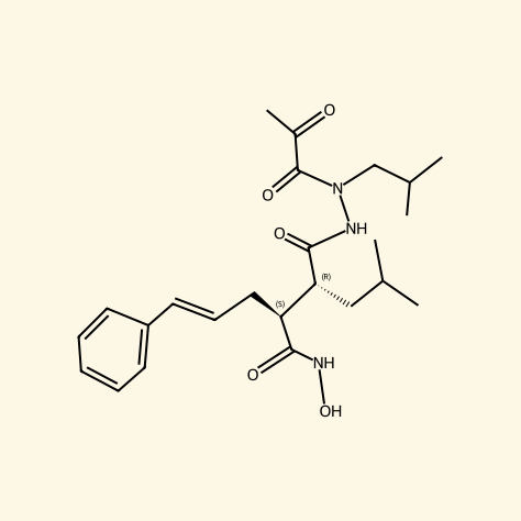 CC(=O)C(=O)N(CC(C)C)NC(=O)[C@H](CC(C)C)[C@H](CC=Cc1ccccc1)C(=O)NO